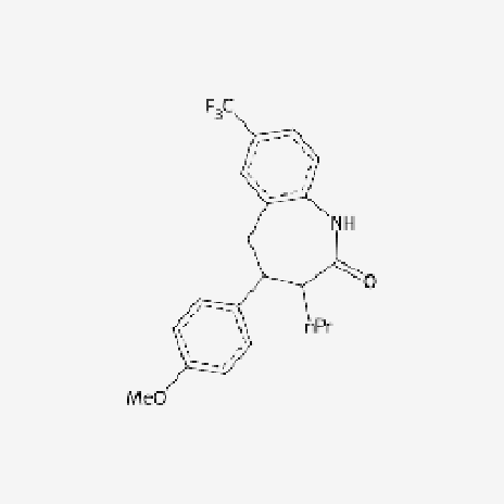 CCCC1C(=O)Nc2ccc(C(F)(F)F)cc2CC1c1ccc(OC)cc1